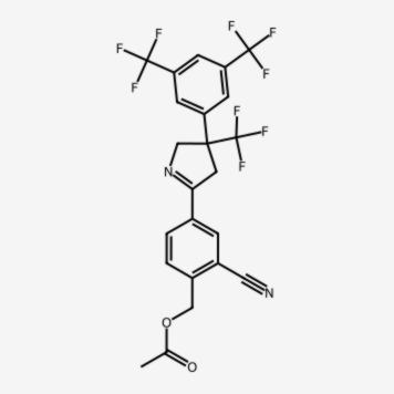 CC(=O)OCc1ccc(C2=NCC(c3cc(C(F)(F)F)cc(C(F)(F)F)c3)(C(F)(F)F)C2)cc1C#N